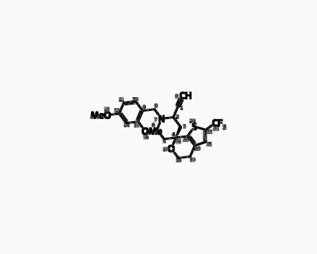 C#CC1C[C@]2(CCN1Cc1ccc(OC)cc1OC)OCCc1cc(C(F)(F)F)sc12